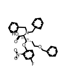 O=C(O)[C@H]([C@H](CCOCc1ccccc1)Oc1ccc(F)cc1[N+](=O)[O-])N(Cc1ccccc1)Cc1ccccc1